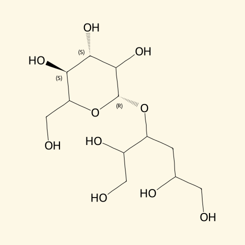 OCC(O)CC(O[C@@H]1OC(CO)[C@@H](O)[C@H](O)C1O)C(O)CO